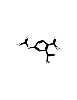 O=C(O)Oc1ccc(C(=O)O)c(C(=O)O)c1